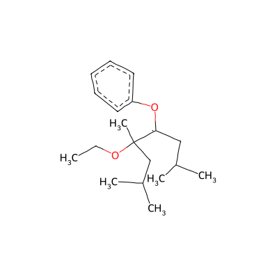 CCOC(C)(CC(C)C)[C](CC(C)C)Oc1ccccc1